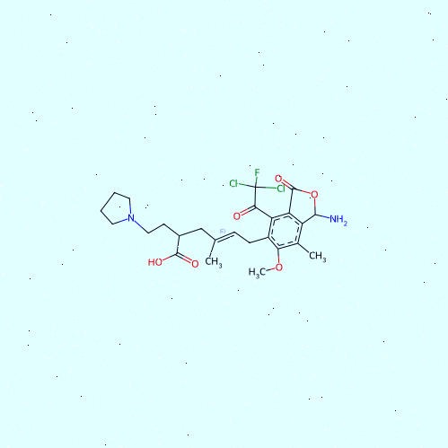 COc1c(C)c2c(c(C(=O)C(F)(Cl)Cl)c1C/C=C(\C)CC(CCN1CCCC1)C(=O)O)C(=O)OC2N